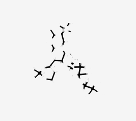 CCOCO[C@H](C(OS(=O)(=O)C(F)(F)C(F)(F)OC(F)(F)C(F)(F)I)[C@@H](O)OCC[Si](C)(C)C)[C@H]1CCOC(C)(C)O1